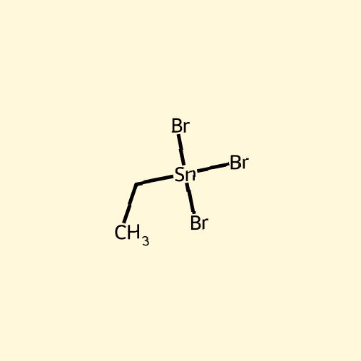 C[CH2][Sn]([Br])([Br])[Br]